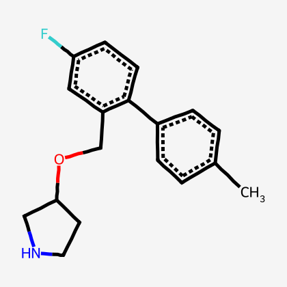 Cc1ccc(-c2ccc(F)cc2COC2CCNC2)cc1